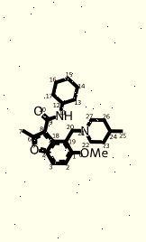 COc1ccc2oc(C)c(C(=O)NC3CCCCC3)c2c1CN1CCC(C)CC1